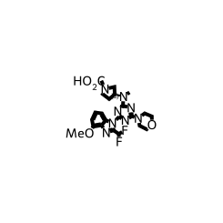 COc1cccc2c1nc(C(F)F)n2-c1nc(N2CCOCC2)nc(N(C)[C@H]2CCN(C(=O)O)C2)n1